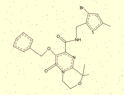 Cc1cc(Br)c(CNC(=O)c2nc3n(c(=O)c2OCc2ccccc2)CCOC3(C)C)s1